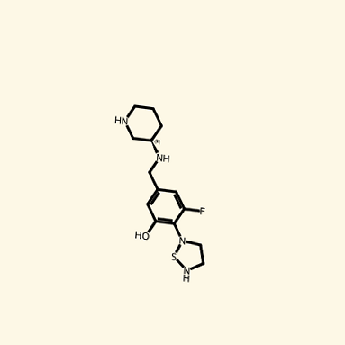 Oc1cc(CN[C@@H]2CCCNC2)cc(F)c1N1CCNS1